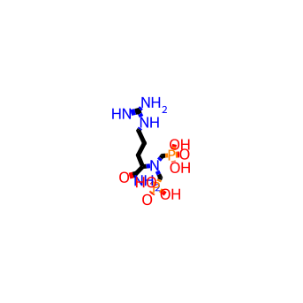 N=C(N)NCCCC(C(N)=O)N(CP(=O)(O)O)CP(=O)(O)O